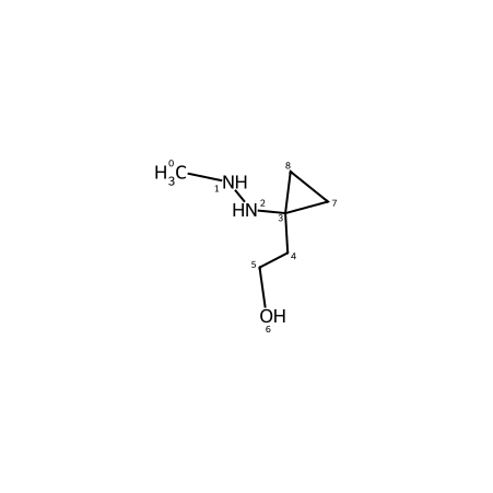 CNNC1(CCO)CC1